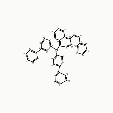 c1ccc(-c2ccc(N(c3cccc(-c4ccccc4)c3)c3cc4c5ccccc5ccc4c4ccccc34)cc2)cc1